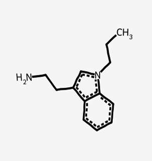 CCCn1cc(CCN)c2ccccc21